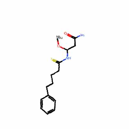 CC(C)(C)OC(CC([NH])=O)NC(=S)CCCCc1ccccc1